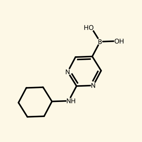 OB(O)c1cnc(NC2CCCCC2)nc1